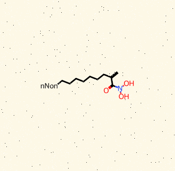 C=C(CCCCCCCCCCCCCCCC)C(=O)N(O)O